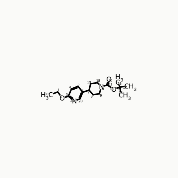 CCOc1ccc(C2CCN(C(=O)OC(C)(C)C)CC2)cn1